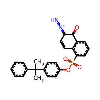 CC(C)(c1ccccc1)c1ccc(OS(=O)(=O)c2cccc3c2C=CC(=[N+]=N)C3=O)cc1